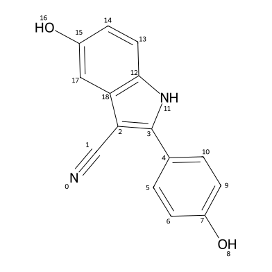 N#Cc1c(-c2ccc(O)cc2)[nH]c2ccc(O)cc12